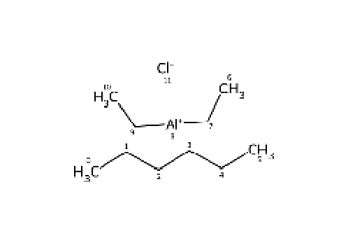 CCCCCC.C[CH2][Al+][CH2]C.[Cl-]